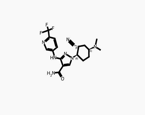 CN(C)[C@H]1CC[C@@H](n2cc(C(N)=O)c(Nc3ccc(C(F)(F)F)nc3)n2)[C@H](C#N)C1